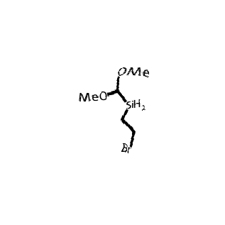 COC(OC)[SiH2]CCBr